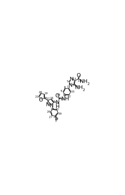 NC(=O)c1ncn(-c2ccc(NC(=O)Nc3cc(-c4ccco4)nn3-c3ccc(F)cc3)cc2)c1N